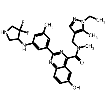 CCn1ncc(CN(C)C(=O)c2nc(-c3cc(C)cc(NC4CNCC4(F)F)c3)nc3ccc(O)cc23)c1C